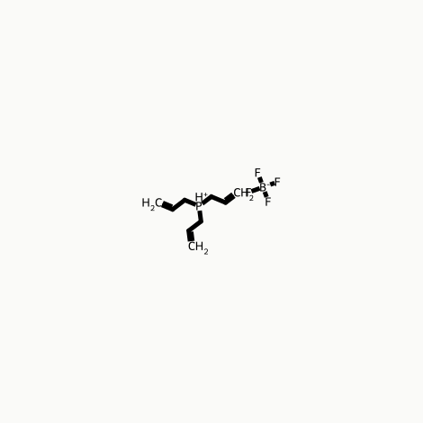 C=CC[PH+](CC=C)CC=C.F[B-](F)(F)F